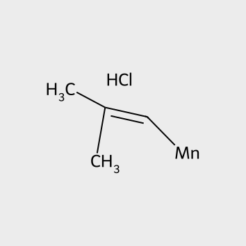 CC(C)=[CH][Mn].Cl